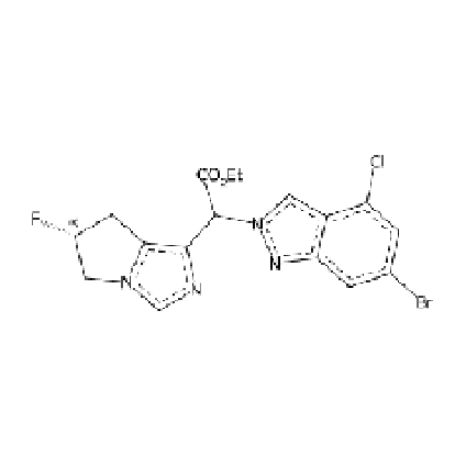 CCOC(=O)C(c1ncn2c1C[C@@H](F)C2)n1cc2c(Cl)cc(Br)cc2n1